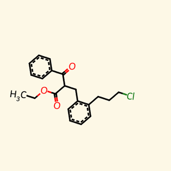 CCOC(=O)C(Cc1ccccc1CCCCl)C(=O)c1ccccc1